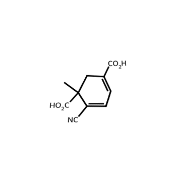 CC1(C(=O)O)CC(C(=O)O)=CC=C1C#N